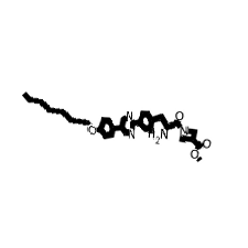 CCCCCCCOc1ccc(-c2cnc(-c3ccc(C[C@H](N)C(=O)N4CC(C(=O)OC)C4)cc3)nc2)cc1